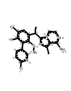 Cc1nc(C(C)c2cc(Cl)c(F)c(-c3ccc(Cl)nc3)c2OC(C)C)n2ccnc(N)c12